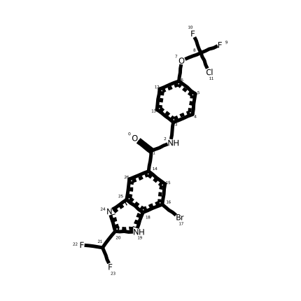 O=C(Nc1ccc(OC(F)(F)Cl)cc1)c1cc(Br)c2[nH]c(C(F)F)nc2c1